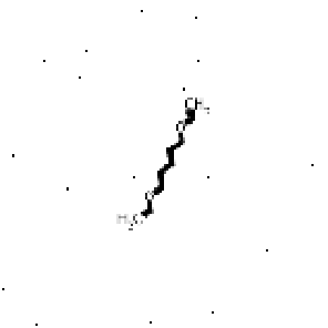 C=COCCCCCOC=C